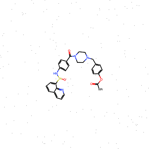 CCCC(=O)Oc1ccc(CN2CCN(C(=O)c3ccc(N[S+]([O-])c4cccc5cccnc45)cc3)CC2)cc1